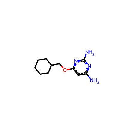 Nc1cc(OCC2CCCCC2)nc(N)n1